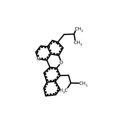 CC(C)Cc1cc2c3c(nccc3c1)-c1cc3ccccc3c(CC(C)C)c1O2